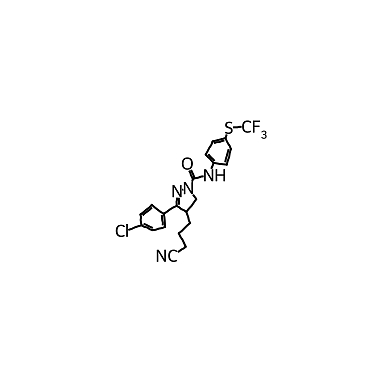 N#CCCCC1CN(C(=O)Nc2ccc(SC(F)(F)F)cc2)N=C1c1ccc(Cl)cc1